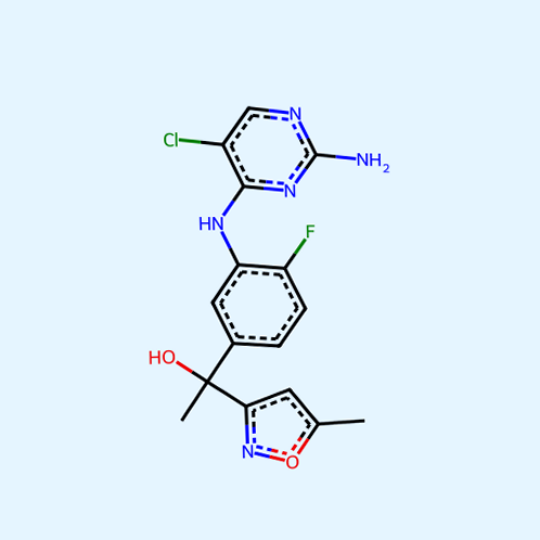 Cc1cc(C(C)(O)c2ccc(F)c(Nc3nc(N)ncc3Cl)c2)no1